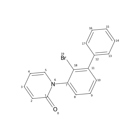 O=c1ccccn1-c1cccc(-c2ccccc2)c1Br